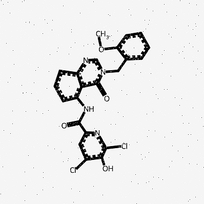 COc1ccccc1Cn1cnc2cccc(NC(=O)c3cc(Cl)c(O)c(Cl)n3)c2c1=O